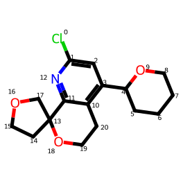 Clc1cc(C2CCCCO2)c2c(n1)C1(CCOC1)OCC2